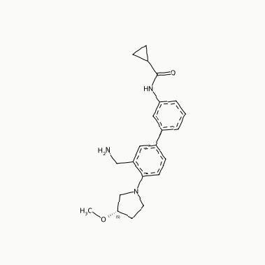 CO[C@H]1CCN(c2ccc(-c3cccc(NC(=O)C4CC4)c3)cc2CN)C1